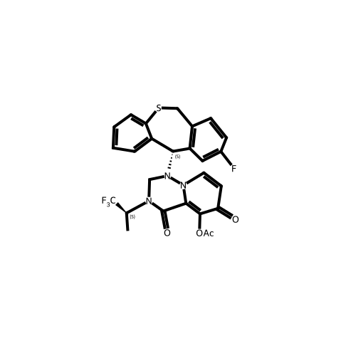 CC(=O)Oc1c2n(ccc1=O)N([C@H]1c3cc(F)ccc3CSc3ccccc31)CN([C@@H](C)C(F)(F)F)C2=O